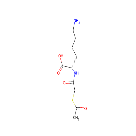 CC(=O)SCC(=O)N[C@@H](CCCCN)C(=O)O